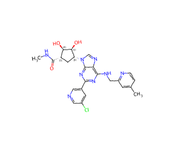 CNC(=O)[C@H]1C[C@@H](n2cnc3c(NCc4cc(C)ccn4)nc(-c4cncc(Cl)c4)nc32)[C@H](O)[C@@H]1O